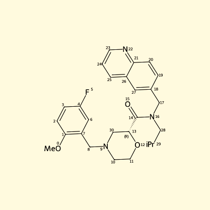 COc1ccc(F)cc1CN1CCO[C@@H](C(=O)N(Cc2ccc3ncccc3c2)CC(C)C)C1